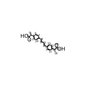 CC(C(=O)O)c1ccc(C=CC=Cc2ccc(C(C)C(=O)O)cc2)cc1